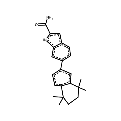 CC1(C)CCC(C)(C)c2cc(-c3ccc4cc(C(N)=O)[nH]c4c3)ccc21